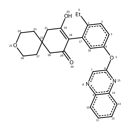 CCc1ccc(Oc2cnc3ccccc3n2)cc1C1=C(O)CC2(CCOCC2)CC1=O